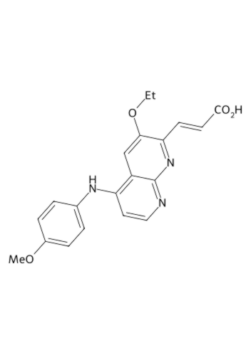 CCOc1cc2c(Nc3ccc(OC)cc3)ccnc2nc1C=CC(=O)O